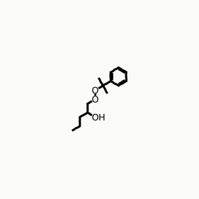 CCCC(O)COOC(C)(C)c1ccccc1